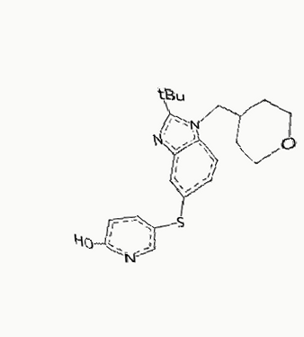 CC(C)(C)c1nc2cc(Sc3ccc(O)nc3)ccc2n1CC1CCOCC1